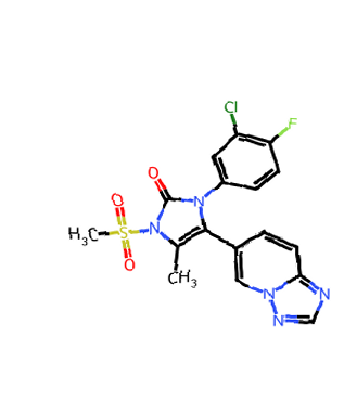 Cc1c(-c2ccc3ncnn3c2)n(-c2ccc(F)c(Cl)c2)c(=O)n1S(C)(=O)=O